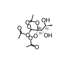 CC(=O)OO[C@@](OC(C)=O)(C(=O)OC(C)=O)[C@@H](O)[C@H](C)O